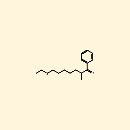 CCSCCCCCC(C)C(=O)c1ccccc1